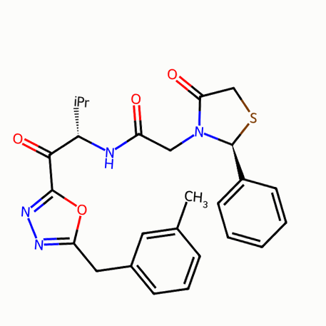 Cc1cccc(Cc2nnc(C(=O)[C@@H](NC(=O)CN3C(=O)CS[C@H]3c3ccccc3)C(C)C)o2)c1